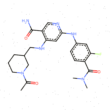 CC(=O)N1CCCC(CNc2cc(Nc3ccc(C(=O)N(C)C)c(F)c3)ncc2C(N)=O)C1